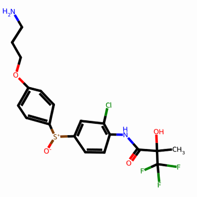 CC(O)(C(=O)Nc1ccc([S+]([O-])c2ccc(OCCCN)cc2)cc1Cl)C(F)(F)F